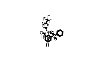 O=C(Nc1nnc(C(F)(F)F)s1)[C@@H]1C[C@@H]2CC[C@H]1N(S(=O)(=O)c1ccccc1)C2